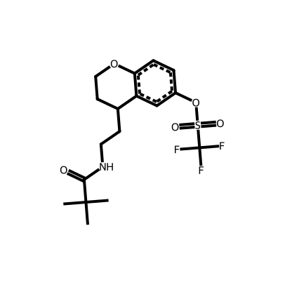 CC(C)(C)C(=O)NCCC1CCOc2ccc(OS(=O)(=O)C(F)(F)F)cc21